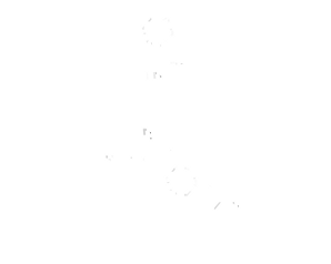 CO[C@H]1Cc2ccc(OC(N)=O)cc2C(C)(C)[C@@H]1NCCCNC(=O)c1ccccc1